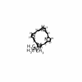 C[Si](C)(C)c1cc2cc3nc(cc4ccc(cc5nc(cc1[nH]2)C=C5)[nH]4)C=C3